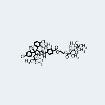 COc1cc(C(=O)OCCOC(=O)C(C)NC(=O)OC(C)(C)C)ccc1NC(=O)C1NC(CC(C)(C)C)C(C#N)(c2ccc(Cl)cc2F)C1c1cccc(Cl)c1F